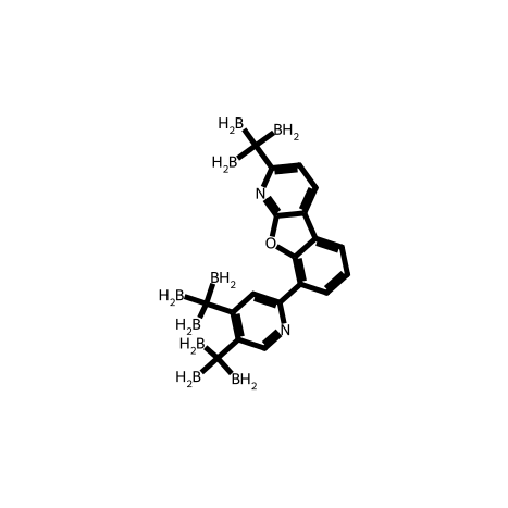 BC(B)(B)c1ccc2c(n1)oc1c(-c3cc(C(B)(B)B)c(C(B)(B)B)cn3)cccc12